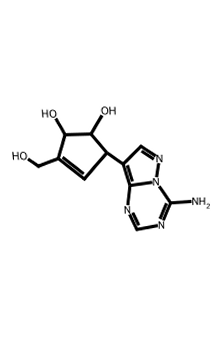 Nc1ncnc2c(C3C=C(CO)C(O)C3O)cnn12